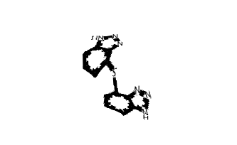 c1cc(Sc2cccc3[nH]nnc23)c2nn[nH]c2c1